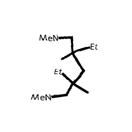 CCC(C)(CNC)CC(C)(CC)CNC